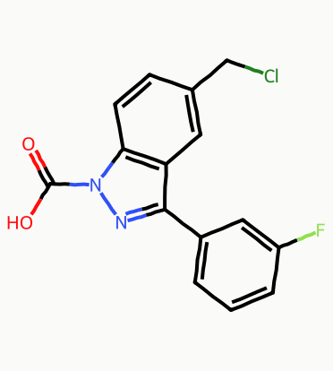 O=C(O)n1nc(-c2cccc(F)c2)c2cc(CCl)ccc21